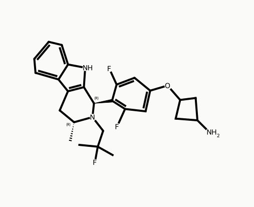 C[C@@H]1Cc2c([nH]c3ccccc23)[C@@H](c2c(F)cc(OC3CC(N)C3)cc2F)N1CC(C)(C)F